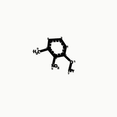 [CH2]c1cccc(OCCC)c1[N+](=O)[O-]